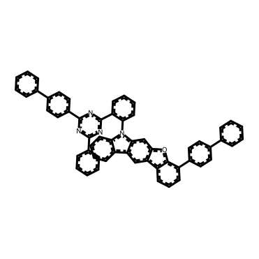 c1ccc(-c2ccc(-c3nc(-c4ccccc4)nc(-c4ccccc4-n4c5ccccc5c5cc6c(cc54)oc4c(-c5ccc(-c7ccccc7)cc5)cccc46)n3)cc2)cc1